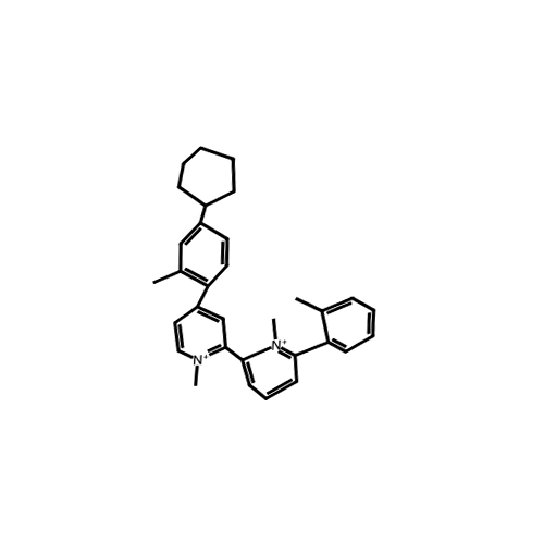 Cc1cc(C2CCCCC2)ccc1-c1cc[n+](C)c(-c2cccc(-c3ccccc3C)[n+]2C)c1